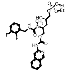 CCOP(=O)(OCC)OC[C@H](O)C[C@@H](COC(=O)Nc1cc2ccccc2cn1)N(C)C(=O)NCc1cccc(F)c1F